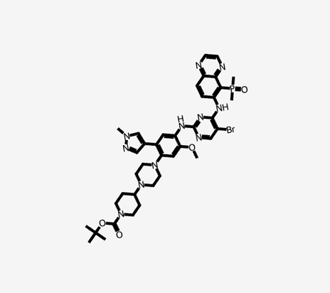 COc1cc(N2CCN(C3CCN(C(=O)OC(C)(C)C)CC3)CC2)c(-c2cnn(C)c2)cc1Nc1ncc(Br)c(Nc2ccc3nccnc3c2P(C)(C)=O)n1